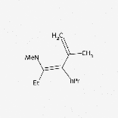 C=C(C)/C(CCC)=C(/CC)NC